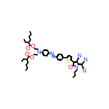 CCCCC(CC)C(=O)OCCN(CCOC(=O)C(CC)CCCC)c1ccc(/N=N/c2ccc(-c3ccc(C4=C(C#N)C(=C(C#N)C#N)N(CCCC)C4=O)s3)cc2)cc1